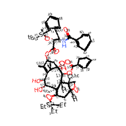 CC[Si](CC)(CC)OC1C[C@H]2OC[C@@]2(OC(C)=O)[C@H]2[C@H](OC(=O)c3ccccc3)[C@]3(O)C[C@H](OC(=O)[C@H](O[Si](C)(C)C(C)(C)C)[C@@H](NC(=O)c4ccccc4)c4ccccc4)C(C)=C([C@H](O)[C@H](O)[C@]12C)C3(C)C